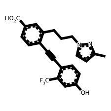 Cc1ccn(CCCc2cc(C(=O)O)ccc2C#Cc2ccc(O)cc2C(F)(F)F)n1